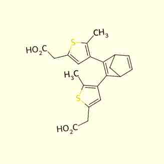 Cc1sc(CC(=O)O)cc1C1=C(c2cc(CC(=O)O)sc2C)C2C=CC1C2